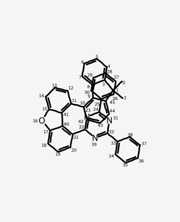 CC1(C)c2ccccc2-c2c(-c3cccc4oc5cccc(-c6nc(-c7ccccc7)nc(-c7ccccc7)n6)c5c34)cccc21